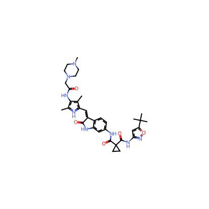 Cc1[nH]c(/C=C2\C(=O)Nc3cc(NC(=O)C4(C(=O)Nc5cc(C(C)(C)C)on5)CC4)ccc32)c(C)c1NC(=O)CN1CCN(C)CC1